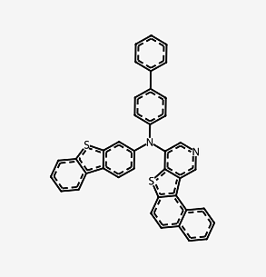 c1ccc(-c2ccc(N(c3ccc4c(c3)sc3ccccc34)c3cncc4c3sc3ccc5ccccc5c34)cc2)cc1